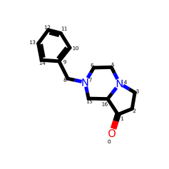 O=C1CCN2CCN(Cc3ccccc3)CC12